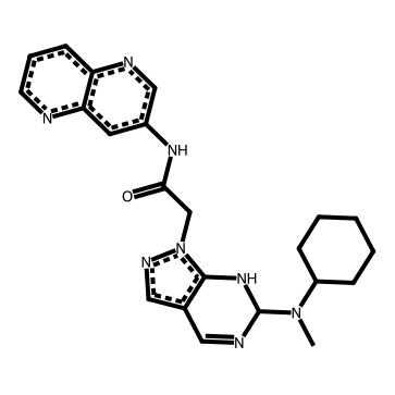 CN(C1CCCCC1)C1N=Cc2cnn(CC(=O)Nc3cnc4cccnc4c3)c2N1